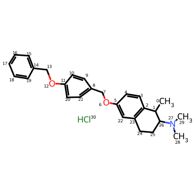 CC1c2ccc(OCc3ccc(OCc4ccccc4)cc3)cc2CCC1N(C)C.Cl